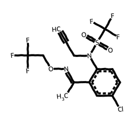 C#CCN(c1ccc(Cl)cc1/C(C)=N/OCC(F)(F)F)S(=O)(=O)C(F)(F)F